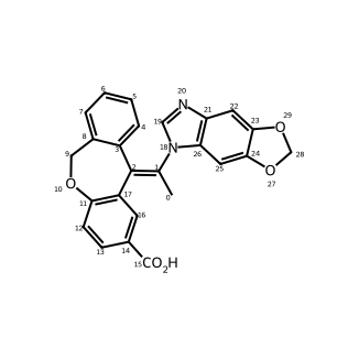 C/C(=C1/c2ccccc2COc2ccc(C(=O)O)cc21)n1cnc2cc3c(cc21)OCO3